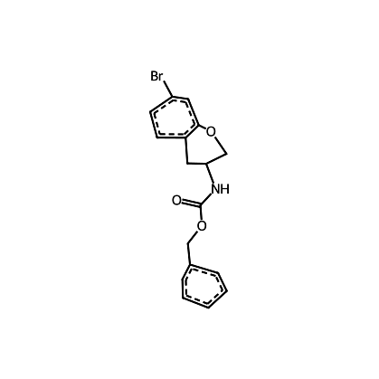 O=C(NC1COc2cc(Br)ccc2C1)OCc1ccccc1